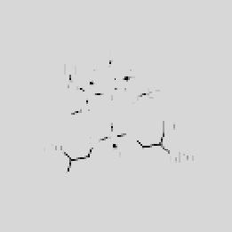 CCCCC(CC)COP(=O)(O)OCC(CC)CCCC.CCOP(=S)(OCC)OP(=S)(OCC)OCC